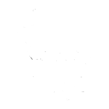 CC(C)N(C(=O)c1cc(F)ccc1Oc1nncnc1N1CC2(CCN(C[C@H]3CCN(S(=O)(=O)N4CCCNCC4)C3)CC2)C1)C(C)C.Cl